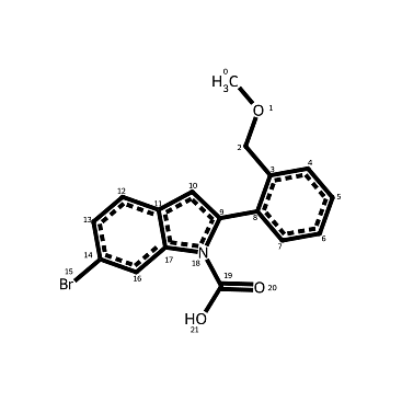 COCc1ccccc1-c1cc2ccc(Br)cc2n1C(=O)O